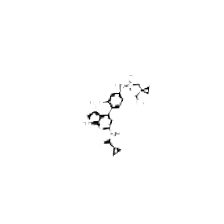 Cc1cc(NS(=O)(=O)CC2(CC#N)CC2)ccc1-c1cc(NC(=O)C2CC2)nc2[nH]ccc12